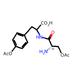 CC(=O)OC[C@H](N)C(=O)NC(Cc1ccc(OC(C)=O)cc1)C(=O)O